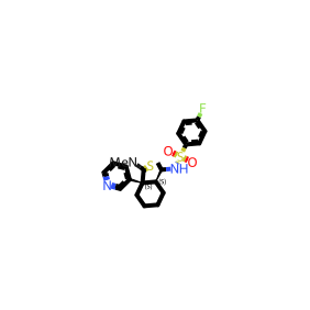 CNC(=S)[C@@]1(c2cccnc2)CCCC[C@@H]1C(C)NS(=O)(=O)c1ccc(F)cc1